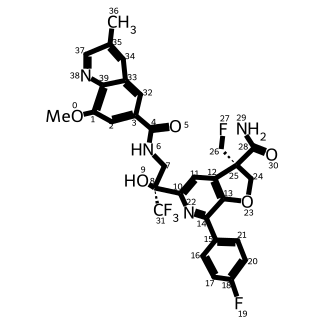 COc1cc(C(=O)NC[C@](O)(c2cc3c(c(-c4ccc(F)cc4)n2)OC[C@]3(CF)C(N)=O)C(F)(F)F)cc2cc(C)cnc12